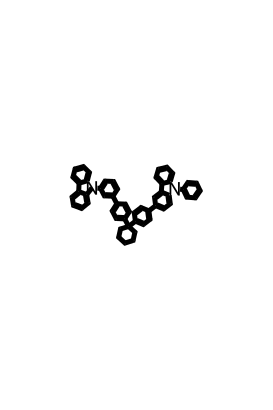 c1ccc(-n2c3ccccc3c3cc(-c4ccc(C5(c6ccc(-c7cccc(-n8c9ccccc9c9ccccc98)c7)cc6)CCCCC5)cc4)ccc32)cc1